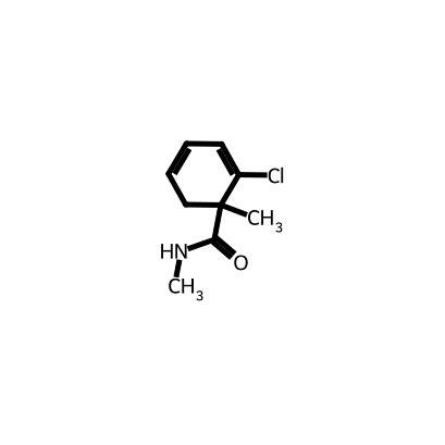 CNC(=O)C1(C)CC=CC=C1Cl